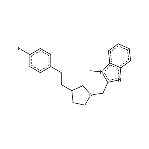 Cn1c(CN2CCC(CCc3ccc(F)cc3)C2)nc2ccccc21